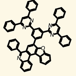 c1ccc(-c2cc(-c3ccccc3)nc(-c3cc(-c4nc(-c5ccccc5)cc(-c5ccccc5)n4)cc(-c4cc5c(-c6ccccc6)nc6ccccc6c5c5c4oc4ccccc45)c3)n2)cc1